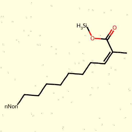 CCCCCCCCCCCCCCCCC=C(C)C(=O)O[SiH3]